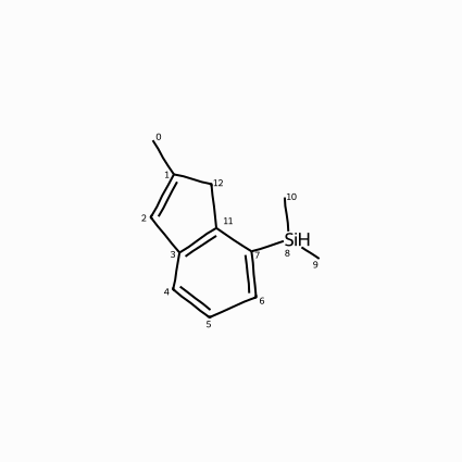 CC1=Cc2cccc([SiH](C)C)c2C1